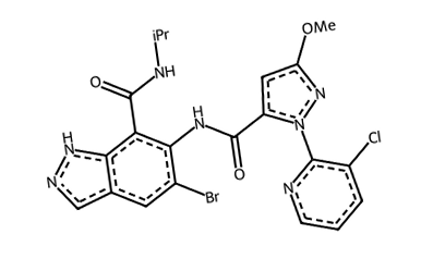 COc1cc(C(=O)Nc2c(Br)cc3cn[nH]c3c2C(=O)NC(C)C)n(-c2ncccc2Cl)n1